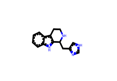 c1ccc2c3c([nH]c2c1)C(Cc1c[nH]cn1)NCC3